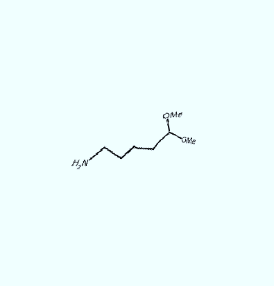 CO[C](CCCCN)OC